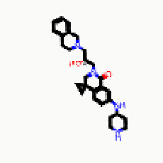 O=C1c2cc(NC3CCNCC3)ccc2C2(CC2)CN1C[C@H](O)CN1CCc2ccccc2C1